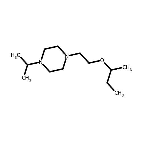 CCC(C)OCCN1CCN(C(C)C)CC1